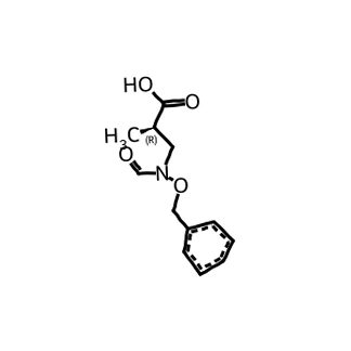 C[C@H](CN(C=O)OCc1ccccc1)C(=O)O